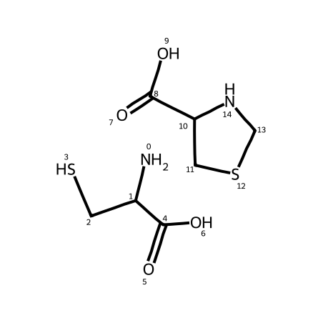 NC(CS)C(=O)O.O=C(O)C1CSCN1